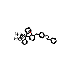 O=P(O)(O)OC(c1ccccc1)(c1ccccc1)c1cccc(Cc2ccc(OCc3ccccc3)cc2)c1Cl